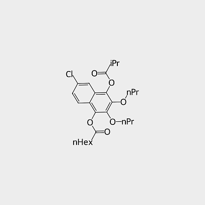 CCCCCCC(=O)Oc1c(OCCC)c(OCCC)c(OC(=O)C(C)C)c2cc(Cl)ccc12